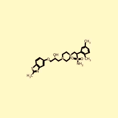 Cc1ccc(C)c(C(CN2CCN(C[C@@H](O)COc3ccc4sc(C)nc4c3)CC2)S(N)(=O)=O)c1